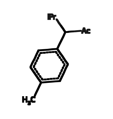 CC(=O)C(c1ccc(C)cc1)C(C)C